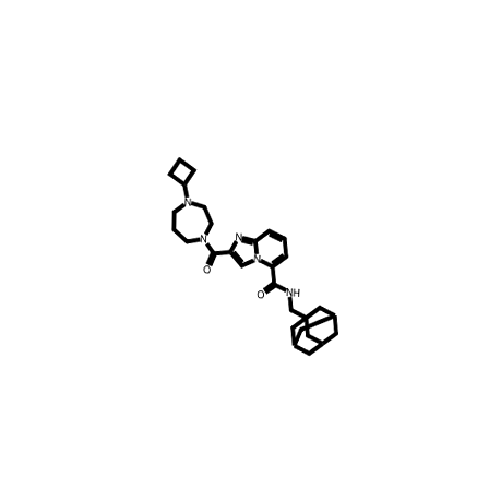 O=C(NCC12CC3CC(CC(C3)C1)C2)c1cccc2nc(C(=O)N3CCCN(C4CCC4)CC3)cn12